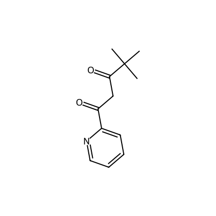 CC(C)(C)C(=O)CC(=O)c1ccccn1